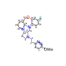 COc1ccc(CCN2CCCC2CN2c3ccc(F)cc3OCc3cccnc32)nn1